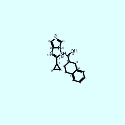 OC(C1CCc2ccccc2C1)[SH]1C(C2CC2)=Nc2cncn21